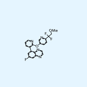 COCC(F)(F)c1ccc(Oc2ncccc2-c2cc(F)cc3nccnc23)cn1